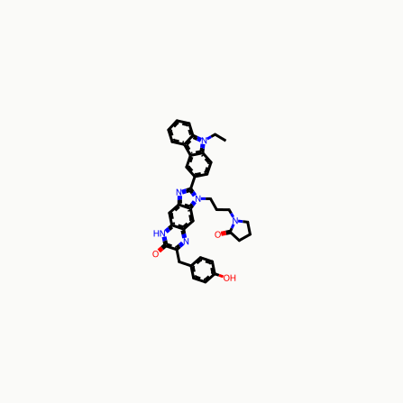 CCn1c2ccccc2c2cc(-c3nc4cc5[nH]c(=O)c(Cc6ccc(O)cc6)nc5cc4n3CCCN3CCCC3=O)ccc21